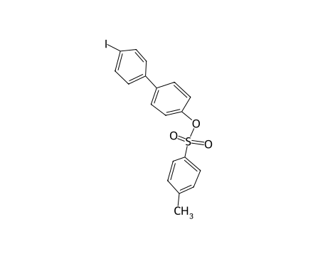 Cc1ccc(S(=O)(=O)Oc2ccc(-c3ccc(I)cc3)cc2)cc1